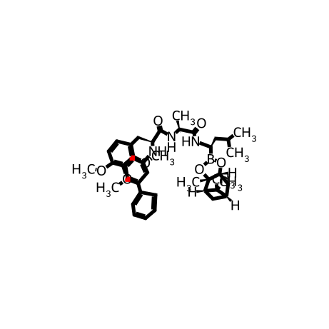 COc1ccc(C[C@H](Nc2cccc(-c3ccccc3)c2)C(=O)N[C@@H](C)C(=O)N[C@@H](CC(C)C)B2O[C@@H]3C[C@@H]4C[C@@H](C4(C)C)[C@]3(C)O2)c(OC)c1OC